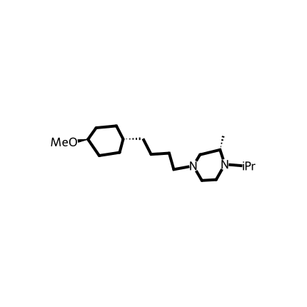 CO[C@H]1CC[C@H](CCCCN2CCN(C(C)C)[C@@H](C)C2)CC1